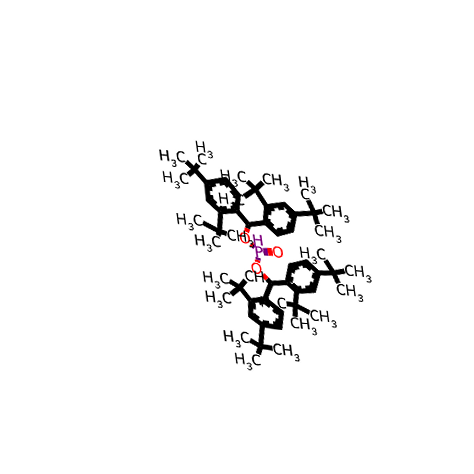 CC(C)(C)c1ccc(C(O[PH](=O)OC(c2ccc(C(C)(C)C)cc2C(C)(C)C)c2ccc(C(C)(C)C)cc2C(C)(C)C)c2ccc(C(C)(C)C)cc2C(C)(C)C)c(C(C)(C)C)c1